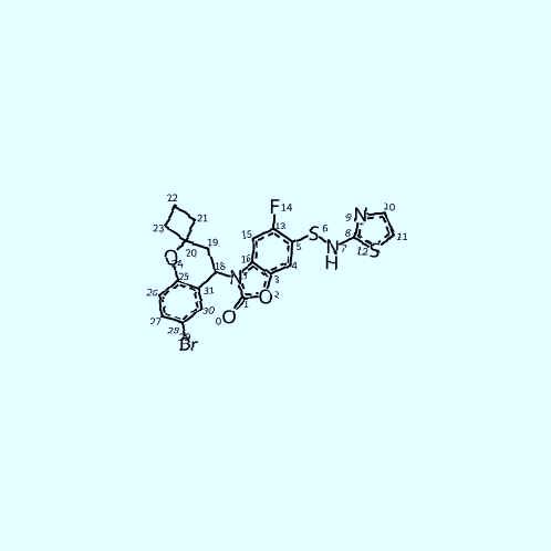 O=c1oc2cc(SNc3nccs3)c(F)cc2n1C1CC2(CCC2)Oc2ccc(Br)cc21